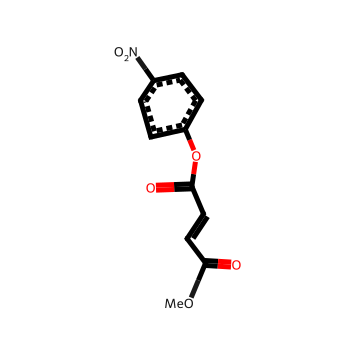 COC(=O)/C=C/C(=O)Oc1ccc([N+](=O)[O-])cc1